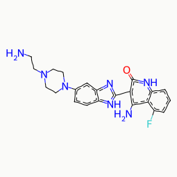 NCCN1CCN(c2ccc3[nH]c(-c4c(N)c5c(F)cccc5[nH]c4=O)nc3c2)CC1